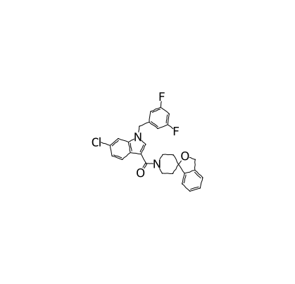 O=C(c1cn(Cc2cc(F)cc(F)c2)c2cc(Cl)ccc12)N1CCC2(CC1)OCc1ccccc12